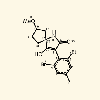 CCc1cc(C)cc(Br)c1C1=C(O)[C@@]2(CC[C@@H](OC)C2)NC1=O